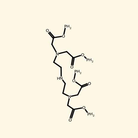 O=C(CN(CCNCCN(CC(=O)OP)CC(=O)OP)CC(=O)OP)OP